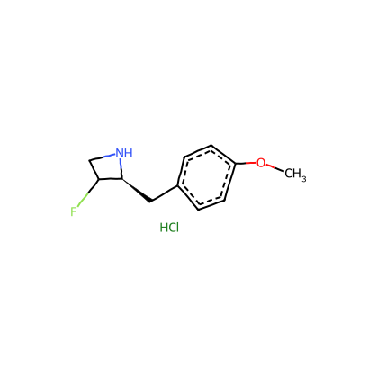 COc1ccc(C[C@@H]2NCC2F)cc1.Cl